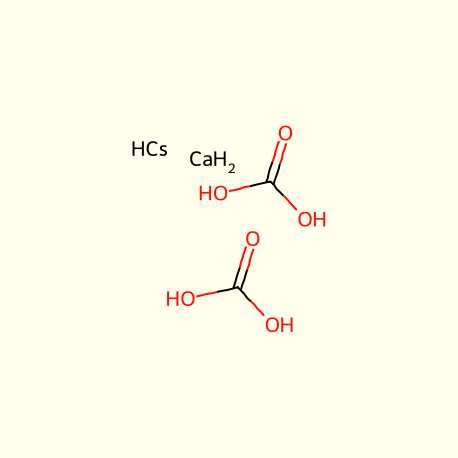 O=C(O)O.O=C(O)O.[CaH2].[CsH]